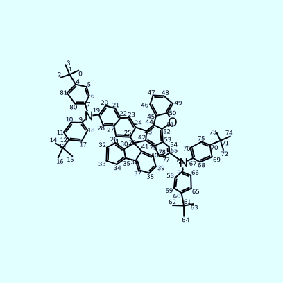 CC(C)(C)c1ccc(N(c2ccc(C(C)(C)C)cc2)c2ccc3cc4c(cc3c2)C2(c3ccccc3-c3ccccc32)c2c-4c3c4ccccc4oc3c3cc(N(c4ccc(C(C)(C)C)cc4)c4ccc(C(C)(C)C)cc4)ccc23)cc1